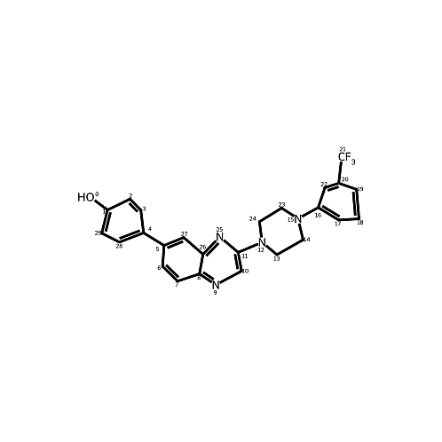 Oc1ccc(-c2ccc3ncc(N4CCN(c5cccc(C(F)(F)F)c5)CC4)nc3c2)cc1